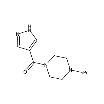 CC(C)N1CCN(C(=O)c2cn[nH]c2)CC1